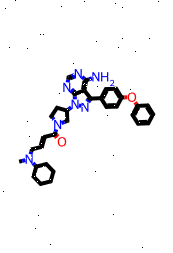 CN(CC=CC(=O)N1CCC(n2nc(-c3ccc(Oc4ccccc4)cc3)c3c(N)ncnc32)C1)C1CCCCC1